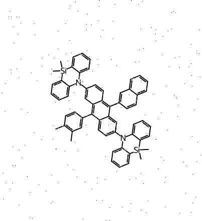 Cc1ccc(-c2c3ccc(N4c5ccccc5[Si](C)(C)c5ccccc54)cc3c(-c3ccc4ccccc4c3)c3ccc(N4c5ccccc5[Si](C)(C)c5ccccc54)cc23)cc1C